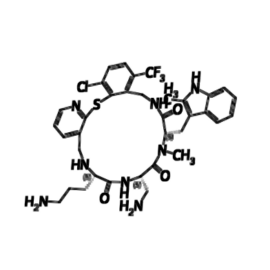 Cc1[nH]c2ccccc2c1C[C@H]1C(=O)NCc2c(C(F)(F)F)ccc(Cl)c2Sc2ncccc2CN[C@@H](CCCN)C(=O)N[C@@H](CN)C(=O)N1C